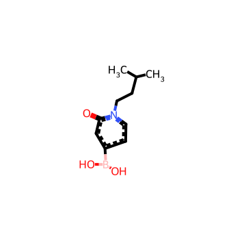 CC(C)CCn1ccc(B(O)O)cc1=O